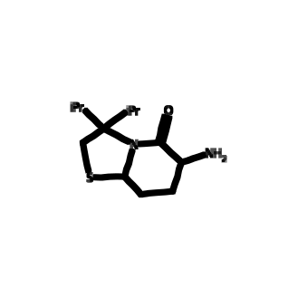 CC(C)C1(C(C)C)CSC2CCC(N)C(=O)N21